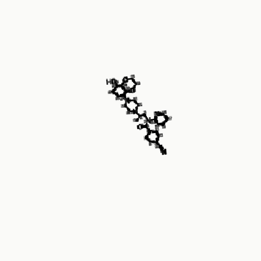 C[C@H](CN(C(=O)c1ccc(C#N)cc1)c1ccccn1)N1CCN(c2ccc(O)c3c2OCCO3)CC1